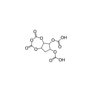 O=C(O)OC1CC2OC(=O)OC(=O)OC2C1OC(=O)O